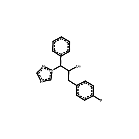 OC(Cc1ccc(F)cc1)C(c1ccccc1)n1cncn1